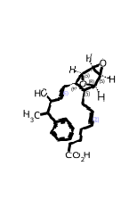 CC(c1ccccc1)C(O)/C=C/[C@@H]1[C@H](C/C=C\CCCC(=O)O)[C@H]2O[C@@H]1[C@H]1O[C@H]12